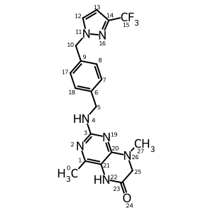 Cc1nc(NCc2ccc(Cn3ccc(C(F)(F)F)n3)cc2)nc2c1NC(=O)CN2C